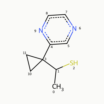 CC(S)C1(c2cnccn2)CC1